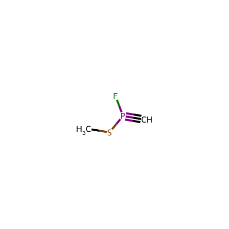 C#P(F)SC